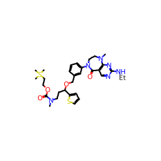 CCNc1ncc2c(n1)N(C)CCN(c1cccc(COC(CCN(C)C(=O)OCCS(C)(C)C)c3cccs3)c1)C2=O